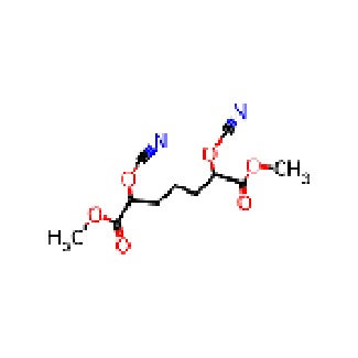 COC(=O)C(CCCC(OC#N)C(=O)OC)OC#N